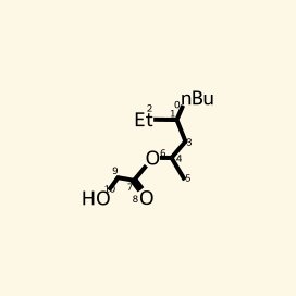 CCCCC(CC)CC(C)OC(=O)CO